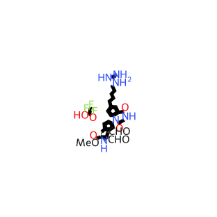 COC(=O)[C@]1(Cc2ccc(N3C(=O)CNC(=O)c4cc(CCCCCNC(=N)N)ccc43)cc2)NC1(C=O)CC=O.O=C(O)C(F)(F)F